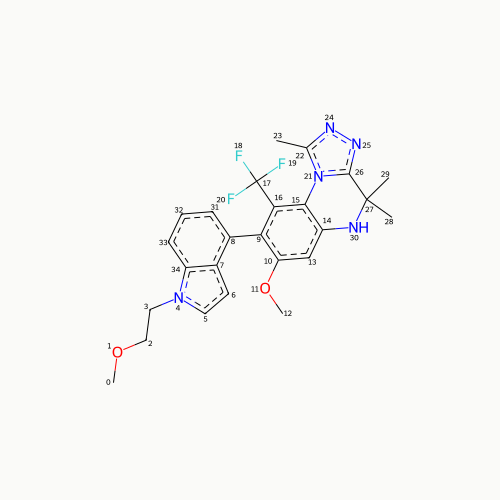 COCCn1ccc2c(-c3c(OC)cc4c(c3C(F)(F)F)-n3c(C)nnc3C(C)(C)N4)cccc21